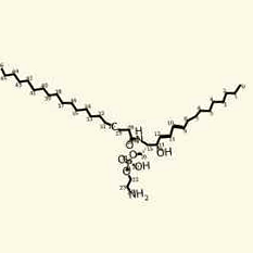 CCCCCCCCC/C=C/C=C/[C@@H](O)[C@H](COP(=O)(O)OCCN)NC(=O)CCCCCCCCCCCCCCCCCCC